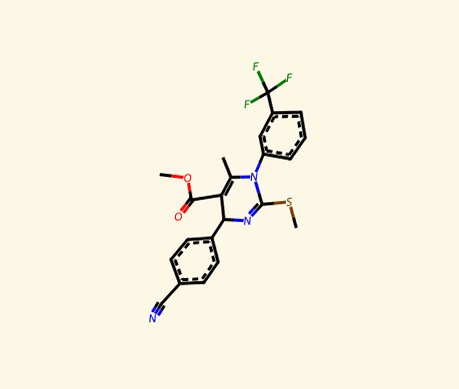 COC(=O)C1=C(C)N(c2cccc(C(F)(F)F)c2)C(SC)=NC1c1ccc(C#N)cc1